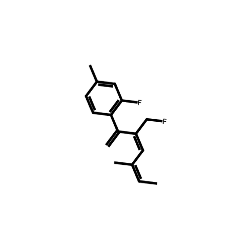 C=C(/C(=C\C(C)=C/C)CF)c1ccc(C)cc1F